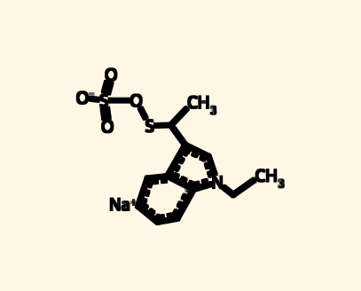 CCn1cc(C(C)SOS(=O)(=O)[O-])c2ccccc21.[Na+]